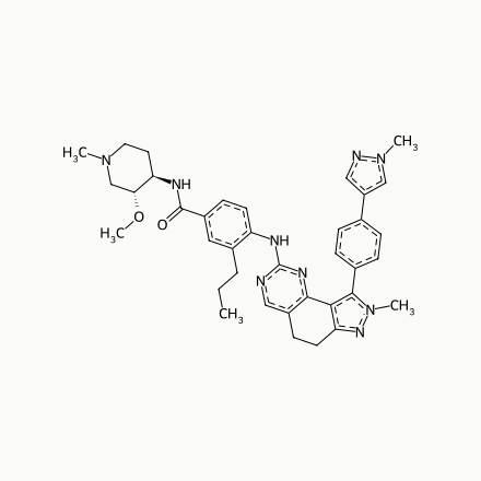 CCCc1cc(C(=O)N[C@@H]2CCN(C)C[C@H]2OC)ccc1Nc1ncc2c(n1)-c1c(nn(C)c1-c1ccc(-c3cnn(C)c3)cc1)CC2